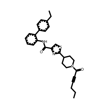 CCCC#CC(=O)N1CCC(c2nc(C(=O)Nc3ccccc3-c3ccc(CC)cc3)cs2)CC1